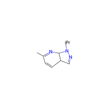 CC1=NC2C(C=C1)C=NN2C(C)C